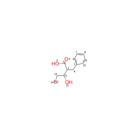 O=C(O)C(Cc1ccccc1)C(O)CBr